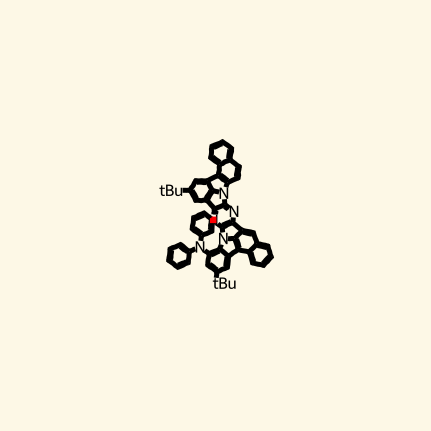 CC(C)(C)c1cc(N(c2ccccc2)c2ccccc2)c2c(c1)c1c3ccccc3cc3c4nc5c(nc4n2c31)c1cc(C(C)(C)C)cc2c3c4ccccc4ccc3n5c12